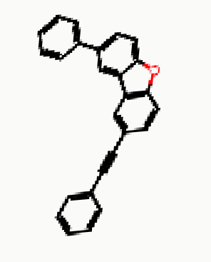 C(#Cc1ccc2oc3ccc(-c4ccccc4)cc3c2c1)c1ccccc1